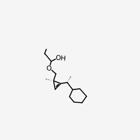 CCC(O)OC[C@]1(C)C=C1[C@H](C)C1CCCCC1